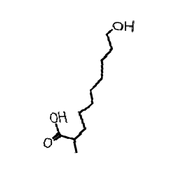 CC(CCCCCCCCO)C(=O)O